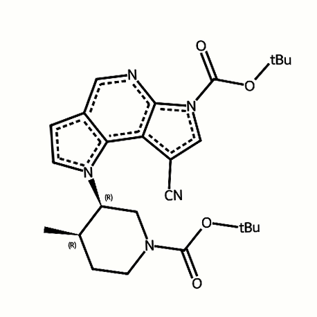 C[C@@H]1CCN(C(=O)OC(C)(C)C)C[C@@H]1n1ccc2cnc3c(c(C#N)cn3C(=O)OC(C)(C)C)c21